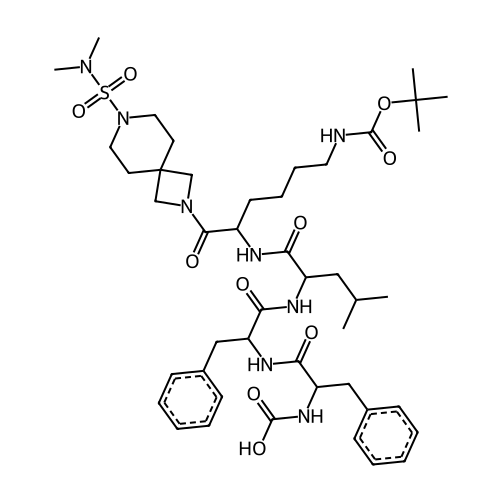 CC(C)CC(NC(=O)C(Cc1ccccc1)NC(=O)C(Cc1ccccc1)NC(=O)O)C(=O)NC(CCCCNC(=O)OC(C)(C)C)C(=O)N1CC2(CCN(S(=O)(=O)N(C)C)CC2)C1